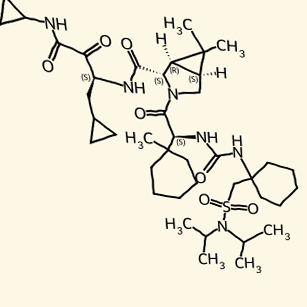 CC(C)N(C(C)C)S(=O)(=O)CC1(NC(=O)N[C@H](C(=O)N2C[C@H]3[C@@H]([C@H]2C(=O)N[C@@H](CC2CC2)C(=O)C(=O)NC2CC2)C3(C)C)C2(C)CCCCC2)CCCCC1